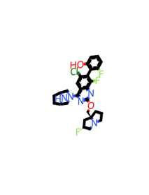 Oc1cccc(F)c1-c1c(Cl)cc2c(N3CC4CCC(C3)N4)nc(OC[C@@]34CCCN3C[C@H](F)C4)nc2c1F